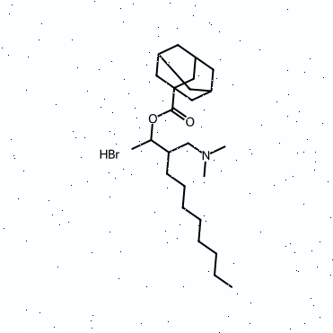 Br.CCCCCCCCC(CN(C)C)C(C)OC(=O)C12CC3CC(CC(C3)C1)C2